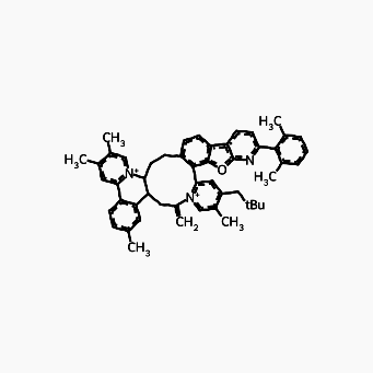 C=C1CC2c3cc(C)ccc3-c3cc(C)c(C)c[n+]3C2CCc2ccc3c(oc4nc(-c5c(C)cccc5C)ccc43)c2-c2cc(CC(C)(C)C)c(C)c[n+]21